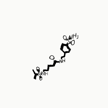 CC(C)S(=O)(=O)NCCCCC(=O)NCCc1ccc(S(N)(=O)=O)cc1